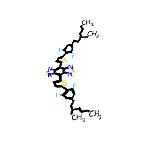 CCCCC(CC)CCc1cc(F)c(-c2ccc(-c3c4c(c(-c5ccc(-c6c(F)cc(CCC(CC)CCCC)cc6F)s5)c5nsnc35)N=S=N4)s2)c(F)c1